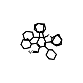 C=CC1=C(C2CCCCC2)C(C2CCCCC2)(C2CCCCC2)C(OC2CCCCC2)(C2CCCCC2)C(C2CCCCC2)=C1C1CCCCC1